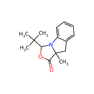 CC(C)(C)C1OC(=O)C2(C)Cc3ccccc3N12